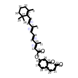 CC1=C(/C=C/C(C)=C/C=C/C(C)=C/C(=O)Oc2ccc3ccc(=O)oc3c2)C(C)(C)CCC1